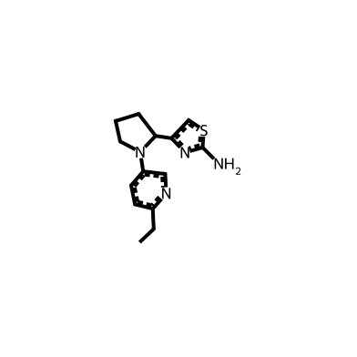 CCc1ccc(N2CCCC2c2csc(N)n2)cn1